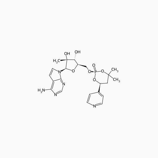 CC1(C)C[C@@H](c2ccncc2)O[P@@](=O)(OC[C@H]2O[C@@H](n3ccc4c(N)ncnc43)[C@](C)(O)[C@@H]2O)O1